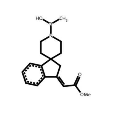 COC(=O)C=C1CC2(CCN(B(C)O)CC2)c2ccccc21